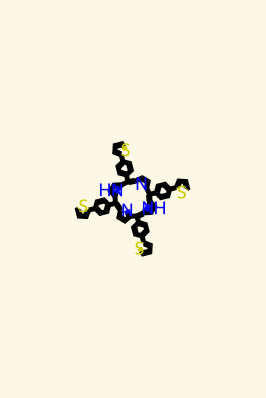 C1=Cc2nc1c(-c1ccc(-c3cccs3)cc1)c1ccc([nH]1)c(-c1ccc(-c3cccs3)cc1)c1nc(c(-c3ccc(-c4cccs4)cc3)c3ccc([nH]3)c2-c2ccc(-c3cccs3)cc2)C=C1